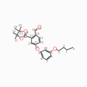 CCCCOc1cccc(Oc2ccc(C=O)c(B3OC(C)(C)C(C)(C)O3)c2)c1